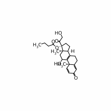 CCCC(=O)O[C@]1(C(=O)CO)CC[C@H]2C3=C(C(O)C[C@@]21C)[C@@]1(C)C=CC(=O)C=C1CC3